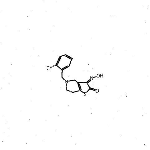 O=C1SC2=C(CN(Cc3ccccc3Cl)CC2)C1=NO